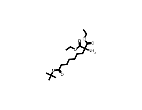 CCOC(=O)C(N)(CCCCCCC(=O)OC(C)(C)C)C(=O)OCC